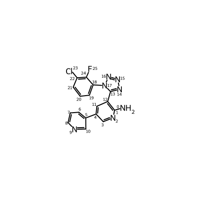 Nc1ncc(-c2cccnc2)cc1-c1nnnn1-c1cccc(Cl)c1F